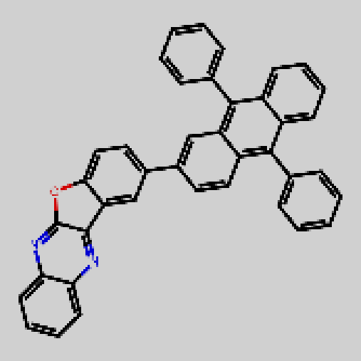 c1ccc(-c2c3ccccc3c(-c3ccccc3)c3cc(-c4ccc5oc6nc7ccccc7nc6c5c4)ccc23)cc1